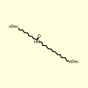 CCCCCCCCCCCCCCCCCCCCCCNC(=O)CCCCCCCCCCCCCCCCC